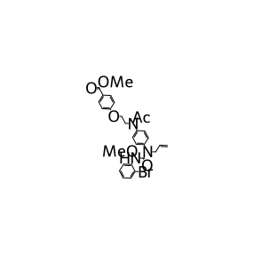 C=CCN(C(=O)Nc1ccccc1Br)c1ccc(N(CCOc2ccc(C(=O)OC)cc2)C(C)=O)cc1OC